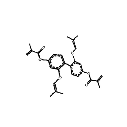 C=C(C)C(=O)Oc1ccc(-c2ccc(OC(=O)C(=C)C)cc2OC=C(C)C)c(OC=C(C)C)c1